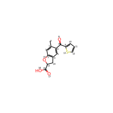 Cc1cc2c(cc1C(=O)c1cccs1)CC(C(=O)O)O2